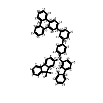 CC1(C)c2ccccc2-c2ccc(N(c3ccc(-c4cccc(-c5ccc6c7ccccc7c7ccccc7c6c5)c4)cc3)c3cccc4c3oc3ccccc34)cc21